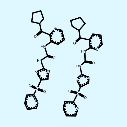 O=C(Nc1ncc(S(=O)(=O)c2ccccn2)s1)Nc1cccnc1C(=O)C1CCCC1.O=C(Nc1ncc(S(=O)(=O)c2ccccn2)s1)Nc1ncccc1C(=O)C1CCCC1